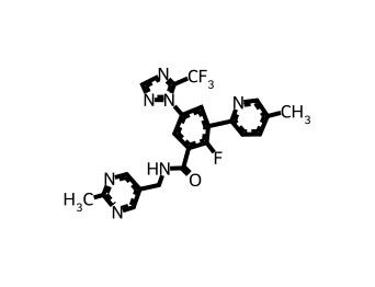 Cc1ccc(-c2cc(-n3ncnc3C(F)(F)F)cc(C(=O)NCc3cnc(C)nc3)c2F)nc1